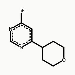 CC(C)c1cc(C2CCOCC2)ncn1